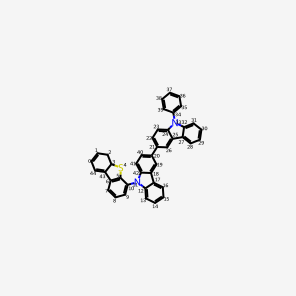 C1=CCC2Sc3c(cccc3-n3c4ccccc4c4cc(-c5ccc6c(c5)c5ccccc5n6-c5ccccc5)ccc43)C2=C1